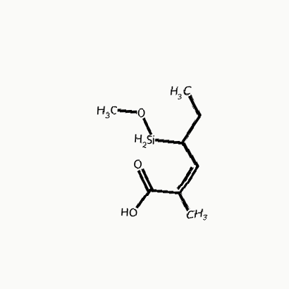 CCC(C=C(C)C(=O)O)[SiH2]OC